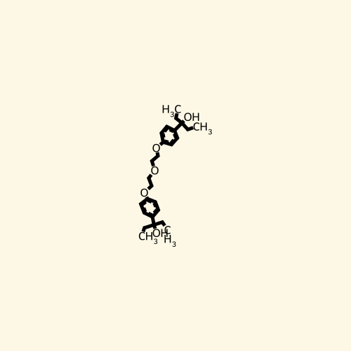 CCC(O)(CC)c1ccc(OCCOCCOc2ccc(C(O)(CC)CC)cc2)cc1